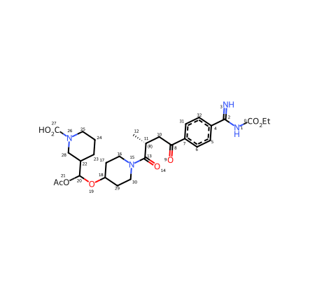 CCOC(=O)NC(=N)c1ccc(C(=O)C[C@@H](C)C(=O)N2CCC(OC(OC(C)=O)C3CCCN(C(=O)O)C3)CC2)cc1